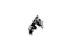 COC(=O)c1ccc([C@H]2CN(CC(F)F)CCN2Cc2c(OC)cc(C)c3c2ccn3C(=O)OC(C)(C)C)c2c1NCCO2